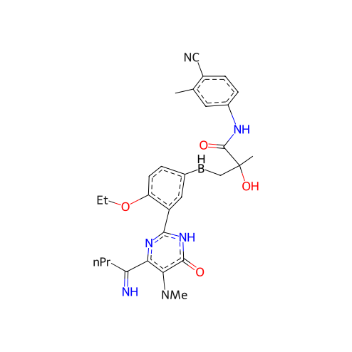 CCCC(=N)c1nc(-c2cc(BCC(C)(O)C(=O)Nc3ccc(C#N)c(C)c3)ccc2OCC)[nH]c(=O)c1NC